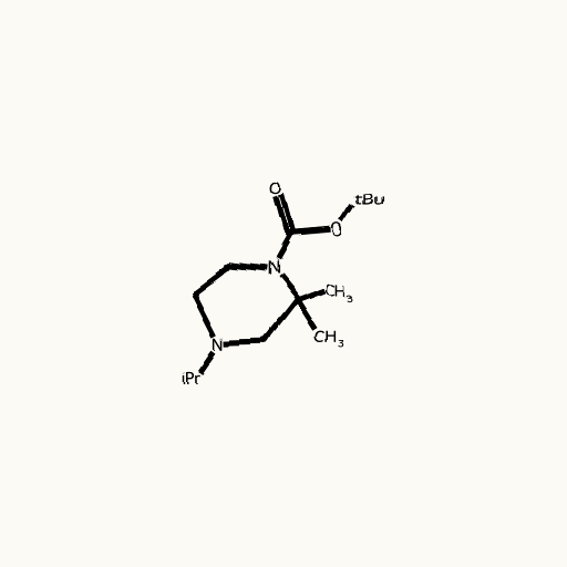 CC(C)N1CCN(C(=O)OC(C)(C)C)C(C)(C)C1